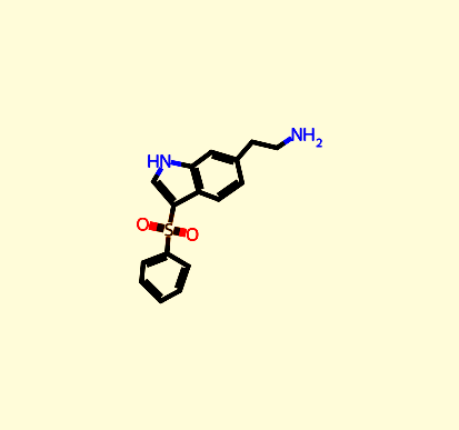 NCCc1ccc2c(S(=O)(=O)c3ccccc3)c[nH]c2c1